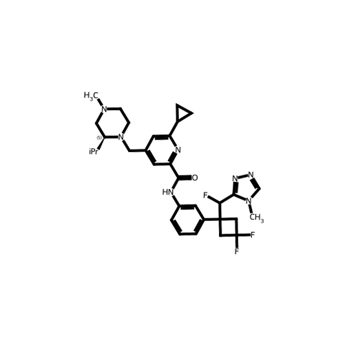 CC(C)[C@H]1CN(C)CCN1Cc1cc(C(=O)Nc2cccc(C3(C(F)c4nncn4C)CC(F)(F)C3)c2)nc(C2CC2)c1